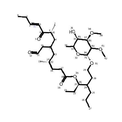 CC/C=C/C(=O)[C@H](C)CC(CC=O)C[C@@H](C)CCC(=O)O[C@H](CC)C(CCC)CCO[C@@H]1OC(C)[C@@H](O)[C@@H](OC)C1OC